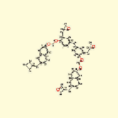 c1cc(OCOc2ccc3cc(CC4CCC4)ccc3c2)c(CC2CO2)cc1Cc1ccc(OCOc2ccc3cc(CC4COC4)ccc3c2)c(CC2CO2)c1